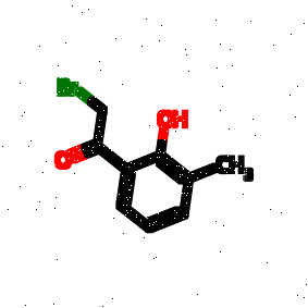 Cc1cccc(C(=O)CBr)c1O